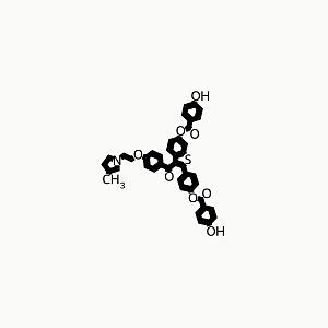 CC1CCN(CCOc2ccc(C(=O)c3c(-c4ccc(OC(=O)c5ccc(O)cc5)cc4)sc4cc(OC(=O)c5ccc(O)cc5)ccc34)cc2)C1